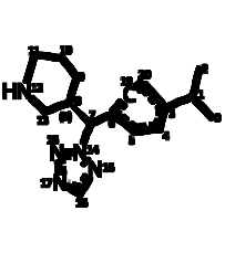 CC(C)c1ccc(C([C@@H]2CCCNC2)n2ncnn2)cc1